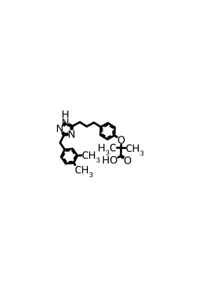 Cc1ccc(Cc2n[nH]c(CCCc3ccc(OC(C)(C)C(=O)O)cc3)n2)cc1C